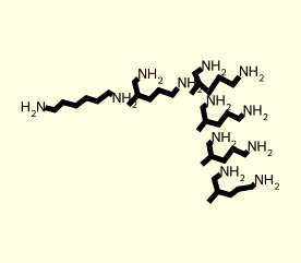 CC(CN)CCCN.CC(CN)CCCN.CC(CN)CCCN.CC(CN)CCCN.CC(CN)CCCN.NCCCCCCN